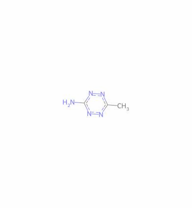 Cc1nnc(N)nn1